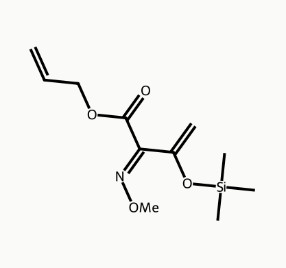 C=CCOC(=O)C(=NOC)C(=C)O[Si](C)(C)C